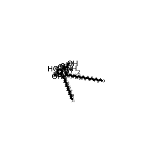 CCCCCCCCCCCCCCCCCC(=O)N(CCCCCCCCCCCC)[C@@H]1O[C@H](CO)[C@@H](O)[C@H](O)[C@H]1NC(=O)[C@@H](N)CO